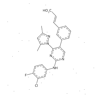 Cc1cc(C)n(-c2nc(Nc3ccc(F)c(Cl)c3)ncc2-c2cccc(C=CC(=O)O)c2)n1